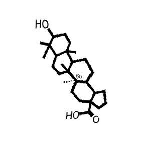 CC1(C)C(O)CCC2(C)C1CCC1(C)C2CCC2C3CCCC3(C(=O)O)CC[C@]21C